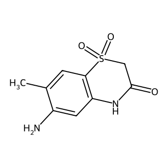 Cc1cc2c(cc1N)NC(=O)CS2(=O)=O